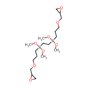 CO[Si](CCCOCC1CO1)(CC[Si](CCCOCC1CO1)(OC)OC)OC